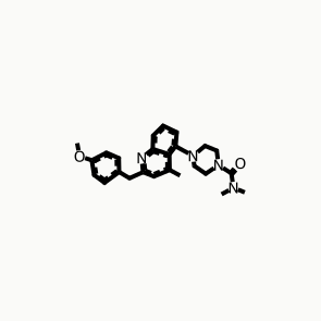 COc1ccc(Cc2cc(C)c3c(N4CCN(C(=O)N(C)C)CC4)cccc3n2)cc1